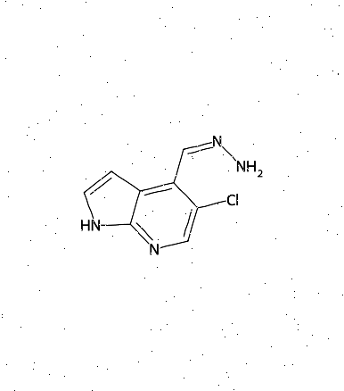 N/N=C\c1c(Cl)cnc2[nH]ccc12